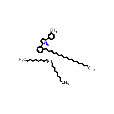 CCCCCCCCCCCCCCC=CCCc1ccccc1C1=CC=C(c2cccc(C)c2)[N+]1=[N-].CCCCCCCC[CH2][Pd][CH2]CCCCCCCC